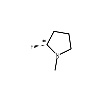 CN1CCC[C@H]1F